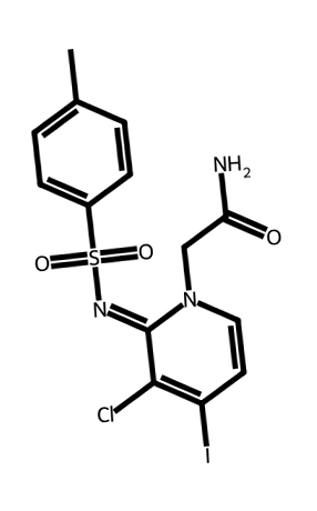 Cc1ccc(S(=O)(=O)N=c2c(Cl)c(I)ccn2CC(N)=O)cc1